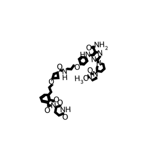 CN1CCN([C@@H]2CCCN(c3cnc(C(N)=O)c(Nc4ccc(OCCCNC(=O)[C@H]5C[C@@H](OCCCc6cccc7c6C(=O)N(C6CCC(=O)NC6=O)C7=O)C5)cc4)n3)C2)C1=O